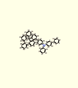 c1ccc(-c2ccc(N(c3ccccc3)c3ccc(-c4cccc(C5(c6ccccc6)c6ccccc6-c6ccccc6-c6ccccc65)c4)cc3)cc2)cc1